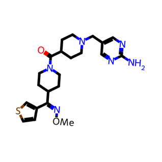 CON=C(c1ccsc1)C1CCN(C(=O)C2CCN(Cc3cnc(N)nc3)CC2)CC1